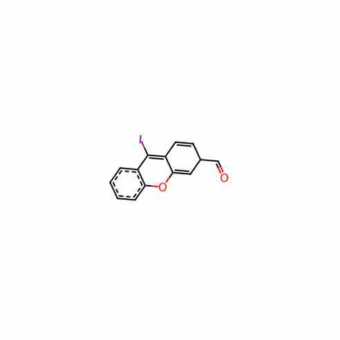 O=CC1C=CC2=C(I)c3ccccc3OC2=C1